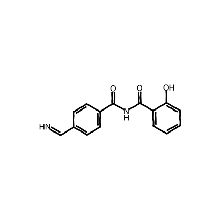 N=Cc1ccc(C(=O)NC(=O)c2ccccc2O)cc1